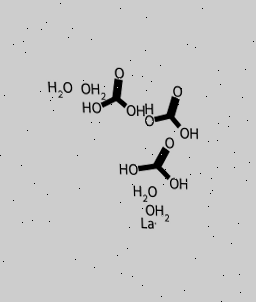 O.O.O.O.O=C(O)O.O=C(O)O.O=C(O)O.[La]